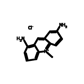 C[n+]1c2ccc(N)cc2cc2c(N)cccc21.[Cl-]